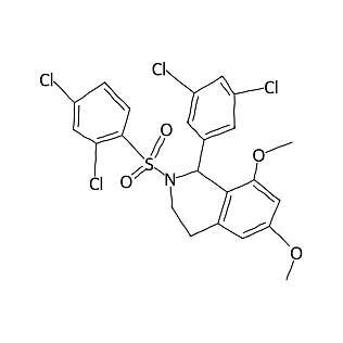 COc1cc2c(c(OC)c1)C(c1cc(Cl)cc(Cl)c1)N(S(=O)(=O)c1ccc(Cl)cc1Cl)CC2